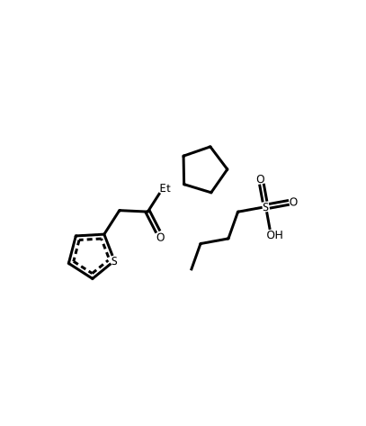 C1CCCC1.CCC(=O)Cc1cccs1.CCCCS(=O)(=O)O